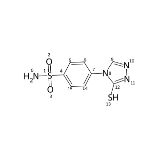 NS(=O)(=O)c1ccc(-n2cnnc2S)cc1